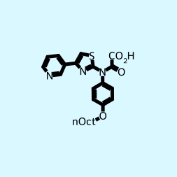 CCCCCCCCOc1ccc(N(C(=O)C(=O)O)c2nc(-c3cccnc3)cs2)cc1